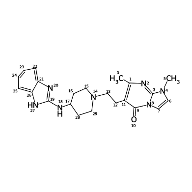 Cc1nc2n(C)ccn2c(=O)c1CCN1CCC(Nc2nc3ccccc3[nH]2)CC1